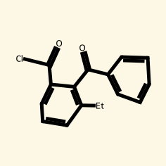 CCc1cccc(C(=O)Cl)c1C(=O)c1ccccc1